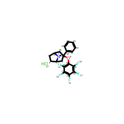 CN1C2CCC1CC(Oc1c(F)c(F)c(F)c(F)c1F)(c1ccccc1)C2.Cl